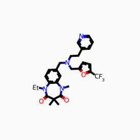 CCN1C(=O)C(C)(C)C(=O)N(C)c2cc(CN(CCc3cccnc3)Cc3ccc(C(F)(F)F)o3)ccc21